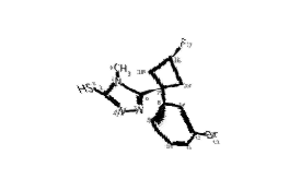 Cn1c(S)nnc1[C@]1(c2cccc(Br)c2)C[C@H](F)C1